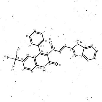 O=C(C=Cc1nc2ccccc2[nH]1)c1c(-c2ccccc2)c2cc(C(F)(F)F)ccc2[nH]c1=O